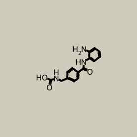 Nc1ccccc1NC(=O)c1ccc(CNC(=O)O)cc1